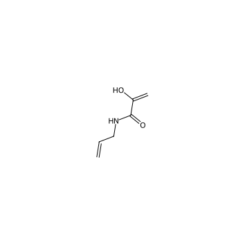 C=CCNC(=O)C(=C)O